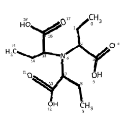 CCC(C(=O)O)N(C(CC)C(=O)O)C(CC)C(=O)O